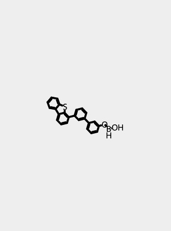 OBOc1cccc(-c2cccc(-c3cccc4c3sc3ccccc34)c2)c1